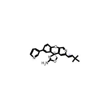 CC(C)(C)/C=C/c1cc2c(cn1)Oc1ccc(-c3cccnc3)cc1[C@@]21COC(N)=N1